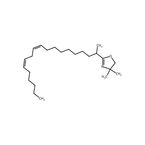 CCCCC/C=C\C/C=C\CCCCCCCC(C)C1=NC(C)(C)CO1